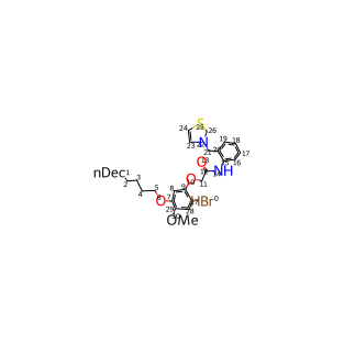 Br.CCCCCCCCCCCCCCOc1cc(OCC(=O)Nc2ccccc2CN2C=CSC2)ccc1OC